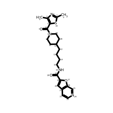 Cc1nc(C)c(C(=O)N2CCC(CCCCNC(=O)c3cc4ccncc4o3)CC2)s1